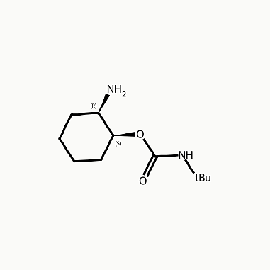 CC(C)(C)NC(=O)O[C@H]1CCCC[C@H]1N